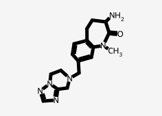 CN1C(=O)C(N)CCc2ccc(CN3CCn4ncnc4C3)cc21